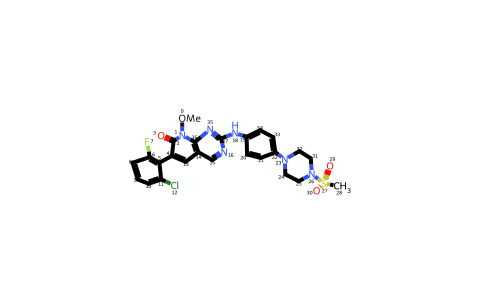 COn1c(=O)c(-c2c(F)cccc2Cl)cc2cnc(Nc3ccc(N4CCN(S(C)(=O)=O)CC4)cc3)nc21